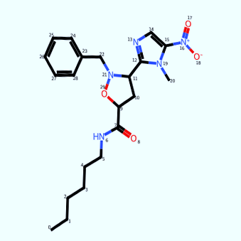 CCCCCCNC(=O)C1CC(c2ncc([N+](=O)[O-])n2C)N(Cc2ccccc2)O1